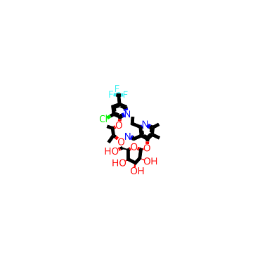 CCc1nc(C)c(C)c(O[C@@H]2O[C@H](CO)[C@@H](O)[C@H](O)[C@H]2O)c1/C=N/OC(C)C(C)Oc1ncc(C(F)(F)F)cc1Cl